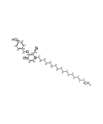 CCCCCCCCCCCCCCCCCCn1ccc(=O)c(OCc2ccc(O)cc2)c1C#N